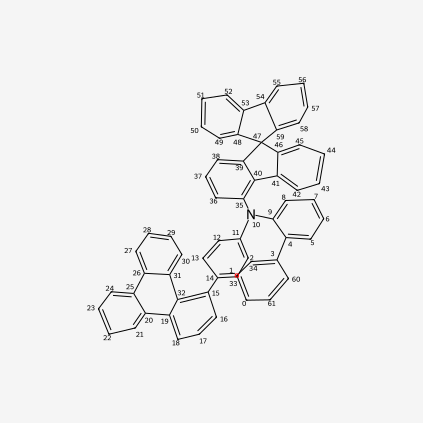 c1ccc(-c2ccccc2N(c2ccc(-c3cccc4c5ccccc5c5ccccc5c34)cc2)c2cccc3c2-c2ccccc2C32c3ccccc3-c3ccccc32)cc1